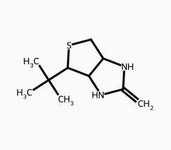 C=C1NC2CSC(C(C)(C)C)C2N1